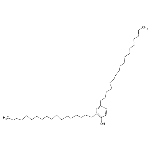 CCCCCCCCCCCCCCCCCCc1ccc(O)c(CCCCCCCCCCCCCCCCCC)c1